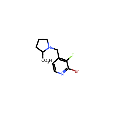 O=C(O)C1CCCN1Cc1ccnc(Br)c1F